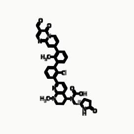 Cc1c(-c2ccn3c(=O)c(C=O)cnc3c2)cccc1-c1cccc(-c2ccc3c(n2)N(C)CCC3N(C[C@@H]2CCC(=O)N2)C(=O)O)c1Cl